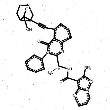 C[C@@H](NC(=O)c1c(N)nn2cccnc12)c1nc2cccc(C#CC3(O)CN4CCC3CC4)c2c(=O)n1-c1ccccc1